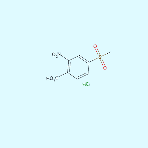 CS(=O)(=O)c1ccc(C(=O)O)c([N+](=O)[O-])c1.Cl